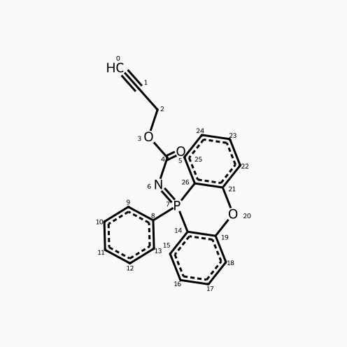 C#CCOC(=O)N=P1(c2ccccc2)c2ccccc2Oc2ccccc21